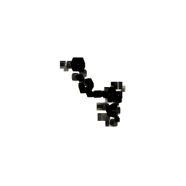 Nc1nc(C#CCC2CCN(C(=O)Oc3cccc(C(F)(F)F)c3)CC2)nc2c1ncn2[C@@H]1O[C@H](CO)C(O)C1O